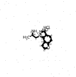 C[C@@H](N)Cn1ncc2ccc3occc3c21.Cl.Cl